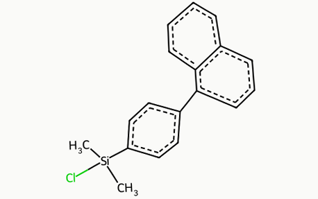 C[Si](C)(Cl)c1ccc(-c2cccc3ccccc23)cc1